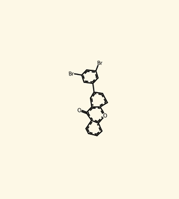 O=c1c2ccccc2oc2ccc(-c3cc(Br)cc(Br)c3)cc12